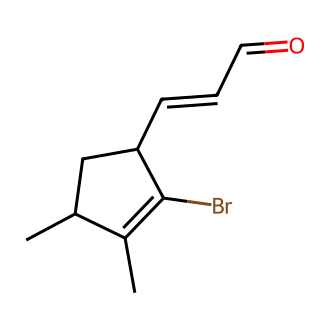 CC1=C(Br)C(C=CC=O)CC1C